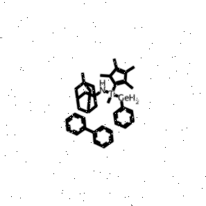 CC1=C(C)C(C)[C]([Ti]([CH3])([NH]C23CC4CC(CC(C)(C4)C2)C3)[GeH2][c]2ccccc2)=C1C.c1ccc(-c2ccccc2)cc1